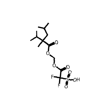 CC(C)CC(C)(C(=O)OCOC(=O)C(F)(F)S(=O)(=O)O)C(C)C